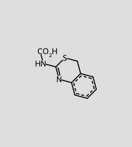 O=C(O)NC1=Nc2ccccc2CS1